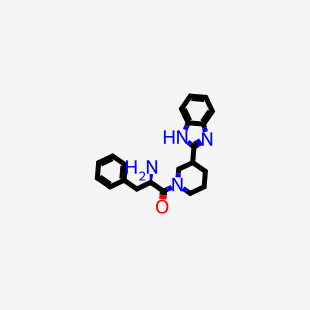 N[C@H](Cc1ccccc1)C(=O)N1CCCC(c2nc3ccccc3[nH]2)C1